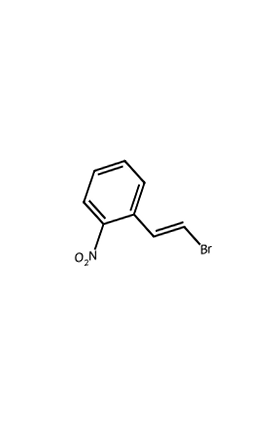 O=[N+]([O-])c1ccccc1/C=C/Br